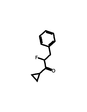 O=C(C(F)Cc1ccccc1)C1CC1